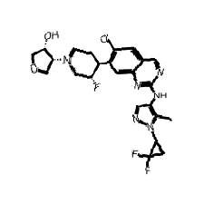 Cc1c(Nc2ncc3cc(Cl)c([C@@H]4CCN([C@@H]5COC[C@@H]5O)C[C@H]4F)cc3n2)cnn1C1CC1(F)F